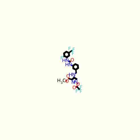 COC(=O)c1nn(OC(=O)C(F)(F)F)cc1NCc1cccc(NC(=O)Nc2cc(C(F)(F)F)ccc2F)c1